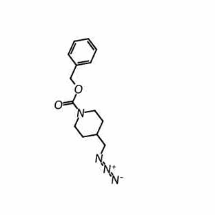 [N-]=[N+]=NCC1CCN(C(=O)OCc2ccccc2)CC1